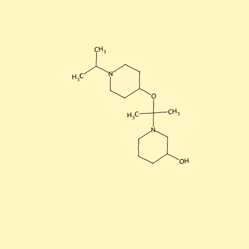 CC(C)N1CCC(OC(C)(C)N2CCCC(O)C2)CC1